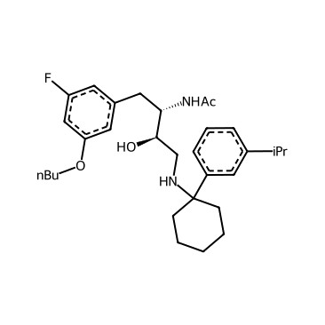 CCCCOc1cc(F)cc(C[C@H](NC(C)=O)[C@H](O)CNC2(c3cccc(C(C)C)c3)CCCCC2)c1